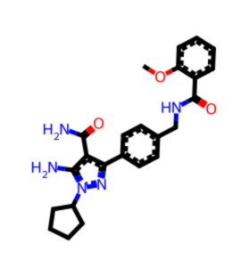 COc1ccccc1C(=O)NCc1ccc(-c2nn(C3CCCC3)c(N)c2C(N)=O)cc1